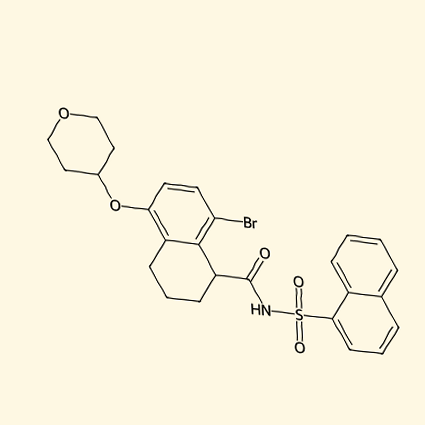 O=C(NS(=O)(=O)c1cccc2ccccc12)C1CCCc2c(OC3CCOCC3)ccc(Br)c21